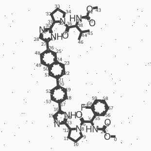 COC(=O)NC(C(=O)N1CCCC1c1ncc(-c2ccc(-c3ccc4cc(-c5cnc(C6CCCN6C(=O)C(NC(=O)OC)C(C)C)[nH]5)ccc4c3)cc2)[nH]1)c1ccccc1F